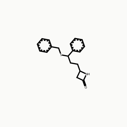 O=C1CC(CCC(SCc2ccccc2)c2ccccc2)N1